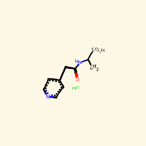 CC(NC(=O)Cc1ccncc1)C(=O)O.Cl